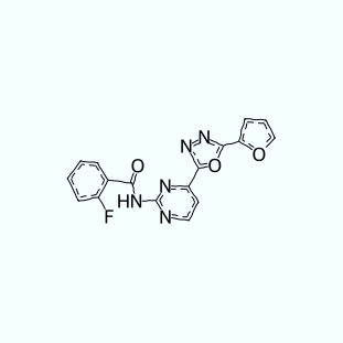 O=C(Nc1nccc(-c2nnc(-c3ccco3)o2)n1)c1ccccc1F